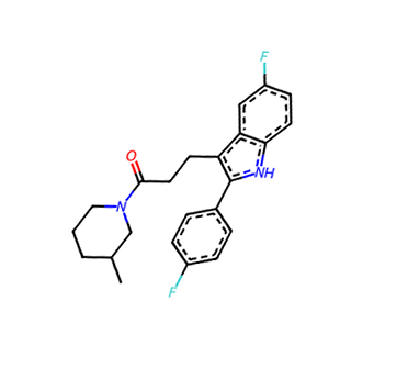 CC1CCCN(C(=O)CCc2c(-c3ccc(F)cc3)[nH]c3ccc(F)cc23)C1